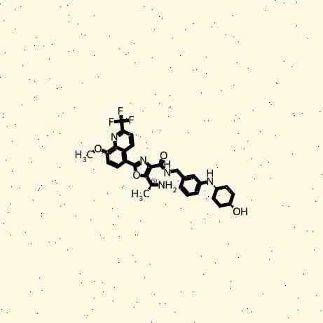 COc1ccc(-c2nc(C(=O)NCc3cccc(N[C@H]4CC[C@H](O)CC4)c3)c([C@H](C)N)o2)c2ccc(C(F)(F)F)nc12